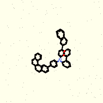 c1ccc(-c2ccccc2N(c2ccc(-c3ccc4ccccc4c3)cc2)c2ccc(-c3ccc4ccc5ccc6ccccc6c5c4c3)cc2)cc1